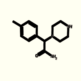 Cc1ccc(C(C(N)=O)N2CCNCC2)cc1